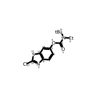 CCN(C(=O)Oc1ccc2nc(Cl)sc2c1)C(C)(C)C